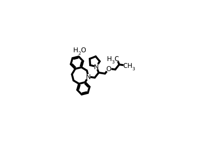 CC(C)COCC(CN1Cc2ccccc2CCc2ccccc21)N1CCCC1.O